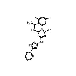 CCc1nc(Nc2cc(-c3ccccn3)[nH]n2)nc(NC(C)c2ccc(F)cc2F)n1